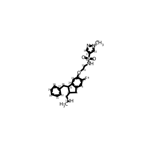 CNCC1Cc2cc(F)c(OCCNS(=O)(=O)c3cnn(C)c3)cc2C1Cc1ccccc1